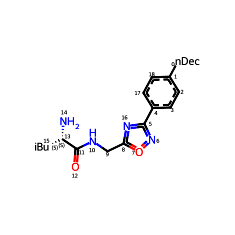 CCCCCCCCCCc1ccc(-c2noc(CNC(=O)[C@@H](N)[C@@H](C)CC)n2)cc1